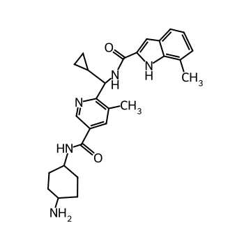 Cc1cc(C(=O)NC2CCC(N)CC2)cnc1C(NC(=O)c1cc2cccc(C)c2[nH]1)C1CC1